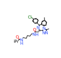 Cc1ccc2c(c1)C(c1ccc(Cl)cc1)=N[C@@H](CC(=O)NCCCCCNC(=O)C(C)C)c1nnc(C)n1-2